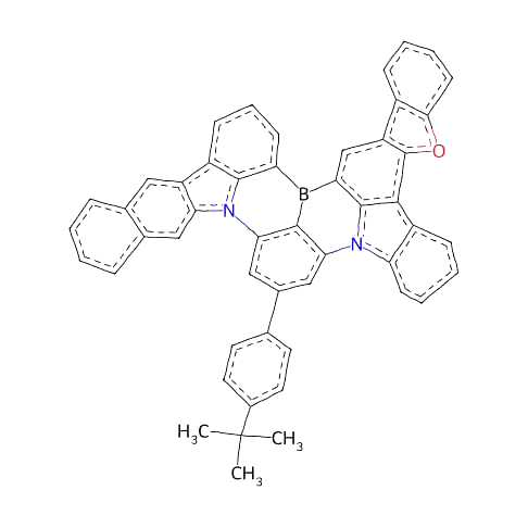 CC(C)(C)c1ccc(-c2cc3c4c(c2)-n2c5ccccc5c5c6oc7ccccc7c6cc(c52)B4c2cccc4c5cc6ccccc6cc5n-3c24)cc1